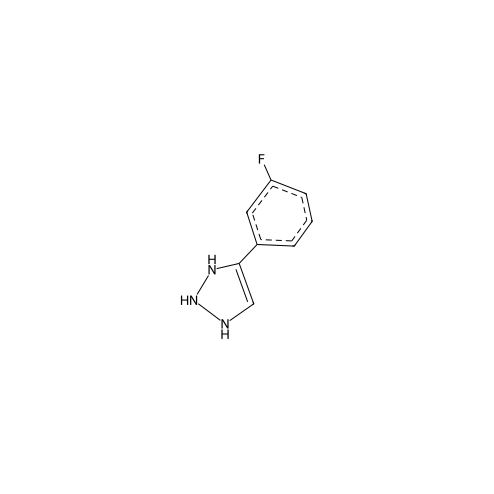 Fc1cccc(C2=CNNN2)c1